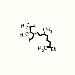 C=C(CC)CCC[C@H](C)CC[C@@H](CI)[C@H](C)C(C)I